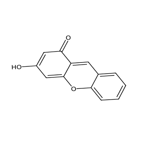 O=c1cc(O)cc2oc3ccccc3cc1-2